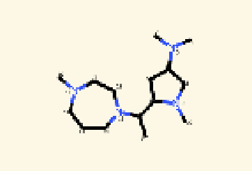 CC(C1CC(N(C)C)CN1C)N1CCCN(C)CC1